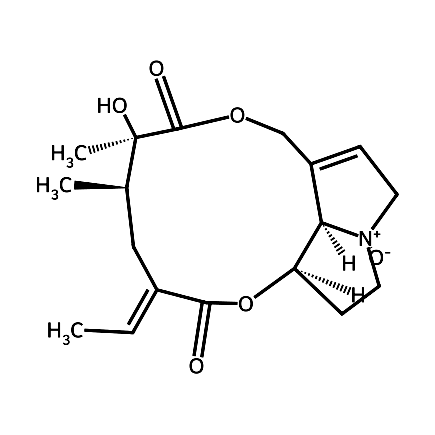 CC=C1C[C@@H](C)[C@@](C)(O)C(=O)OCC2=CC[N+]3([O-])CC[C@@H](OC1=O)[C@@H]23